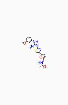 COc1cccc(N/C(N)=N/c2nc(-c3ccc(CNC(C)=O)o3)cs2)c1